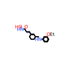 CCOc1cccc(NCC2C=C(/C=C/C(=O)NO)CCC2)c1